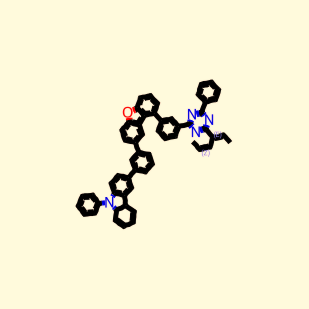 C/C=C\C(=C/C)c1nc(-c2ccccc2)nc(-c2cccc(-c3cccc4oc5ccc(-c6cccc(-c7ccc8c(c7)C7C=CC=CC7N8c7ccccc7)c6)cc5c34)c2)n1